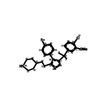 COc1cc(C(C)(C)c2cnc(SCC3CCNCC3)n2-c2ccc(F)cc2)ccc1Cl